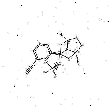 C#Cc1cncc([C@@]2(C#N)C[C@H]3CC[C@@H](C2)N3C(=O)OC(C)(C)C)c1